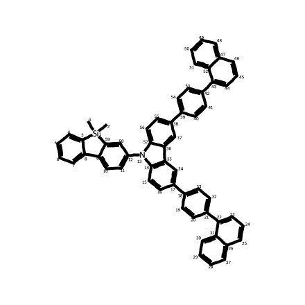 C[Si]1(C)c2ccccc2-c2ccc(-n3c4ccc(-c5ccc(-c6cccc7ccccc67)cc5)cc4c4cc(-c5ccc(-c6cccc7ccccc67)cc5)ccc43)cc21